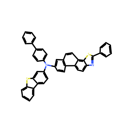 c1ccc(-c2ccc(N(c3ccc4c(ccc5c4ccc4nc(-c6ccccc6)sc45)c3)c3ccc4c(c3)sc3ccccc34)cc2)cc1